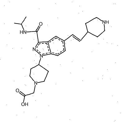 CC(C)NC(=O)c1nn(C2CCN(CC(=O)O)CC2)c2ccc(C=CC3CCNCC3)cc12